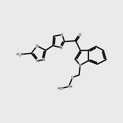 Nc1nnc(-c2csc(C(=O)c3cn(COPO)c4ccccc34)n2)o1